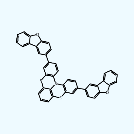 c1cc2c3c(c1)Sc1cc(-c4ccc5oc6ccccc6c5c4)ccc1B3c1ccc(-c3ccc4oc5ccccc5c4c3)cc1S2